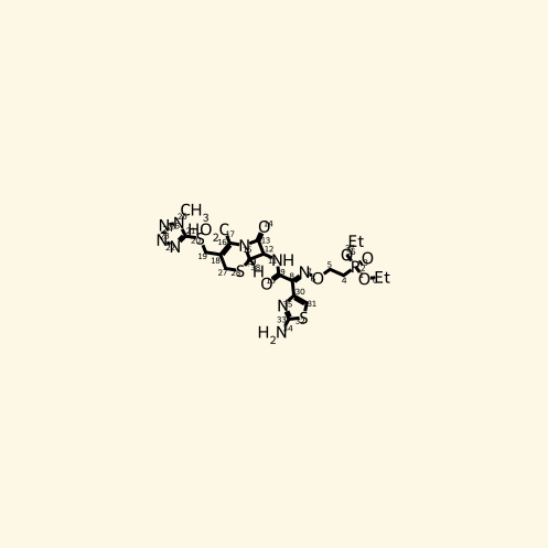 CCOP(=O)(CCON=C(C(=O)NC1C(=O)N2C(C(=O)O)=C(CSc3nnnn3C)CS[C@@H]12)c1csc(N)n1)OCC